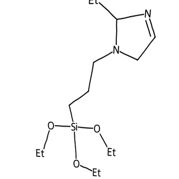 CCO[Si](CCCN1CC=NC1CC)(OCC)OCC